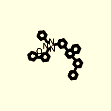 c1ccc(-c2cccc(-c3ccc(-c4cccc(-c5nc(-c6ccccc6)nc(-c6cccc7c6oc6ccccc67)n5)c4)c4ccccc34)c2)cc1